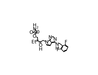 CC[C@@H](COS(N)(=O)=O)[C@@H](O)Cn1ccc2c(NCc3c(F)cccc3F)ncnc21